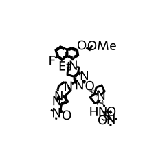 CCc1c(F)ccc2cc(OCOC)cc(N3CCc4c(nc(OC[C@]56CCCN5[C@H](CNS(=O)(=O)N(C)C)CC6)nc4N4CCCn5nc(C(=O)N(C)C)cc5C4)C3)c12